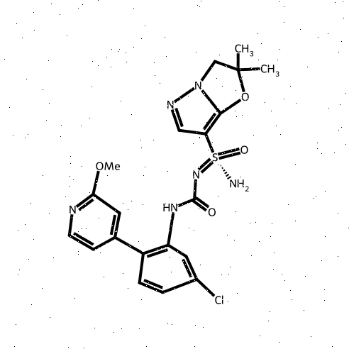 COc1cc(-c2ccc(Cl)cc2NC(=O)N=[S@](N)(=O)c2cnn3c2OC(C)(C)C3)ccn1